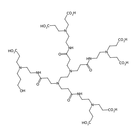 O=C(O)CCN(CCCO)CCNC(=O)CCN(CCC(=O)NCCN(CCC(=O)O)CCC(=O)O)CCN(CCC(=O)NCCN(CCC(=O)O)CCC(=O)O)CCC(=O)NCCN(CCC(=O)O)CCC(=O)O